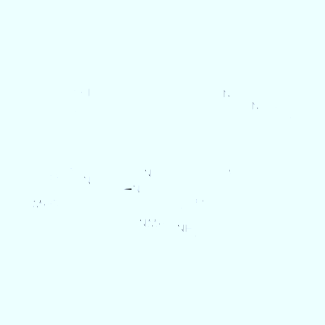 CNc1c(C(N)=O)c(C#Cc2cc3ncn(C4CC4)c3cc2Cl)nn1[C@H]1C[C@H](COC)N(C(=O)C#CC(C)(C)O)C1